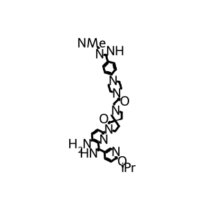 CN/C=N\C(=N)c1ccc(N2CCN(C(=O)CN3CC[C@]4(CCN(c5ccc(N)c(C(=N)c6ccc(OC(C)C)nc6)n5)C4=O)C3)CC2)cc1